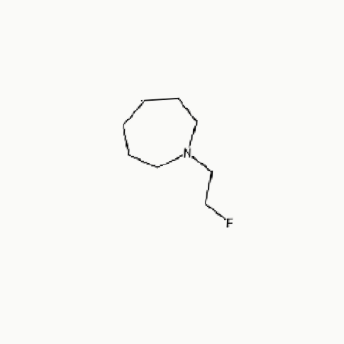 FCCN1CC[CH]CCC1